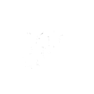 C[C@H](N)C1=Cc2cccnc2S(=O)(=O)N1c1ccccc1